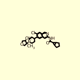 CC1(N2CCC(c3cc4cc(NC(=O)C5C6CCCC65)ncc4cc3Cl)CC2)COCC1O